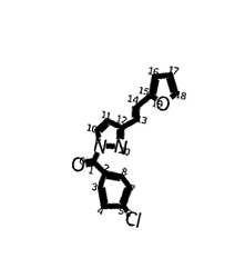 O=C(c1ccc(Cl)cc1)n1ccc(/C=C/c2ccco2)n1